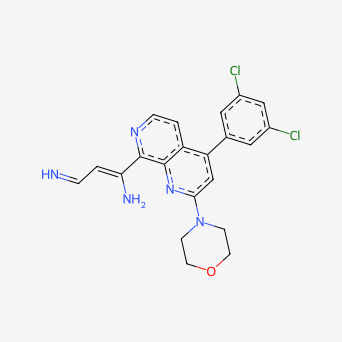 N=C/C=C(\N)c1nccc2c(-c3cc(Cl)cc(Cl)c3)cc(N3CCOCC3)nc12